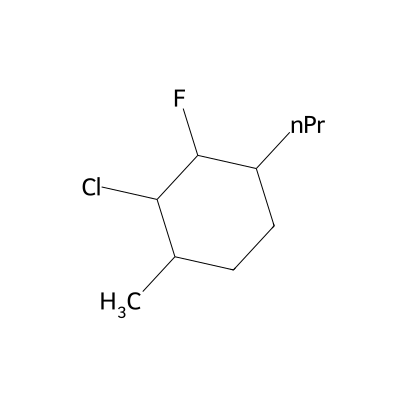 CCCC1CCC(C)C(Cl)C1F